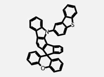 c1ccc2c(c1)Oc1ccccc1C21c2ccccc2-c2c1ccc1c3ccccc3n(-c3ccc4sc5ccccc5c4c3)c21